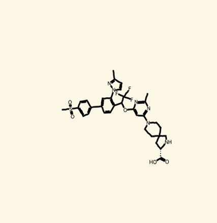 Cc1ccn(-c2cc(-c3ccc(S(C)(=O)=O)cc3)ccc2C(Oc2cc(N3CCC4(CC3)CN[C@H](C(=O)O)C4)nc(C)n2)C(F)(F)F)n1